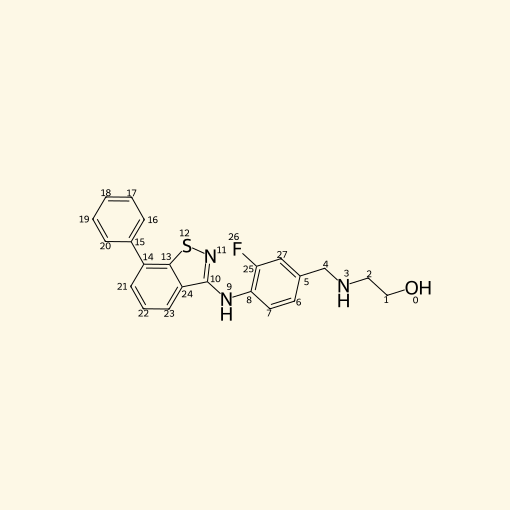 OCCNCc1ccc(Nc2nsc3c(-c4ccccc4)cccc23)c(F)c1